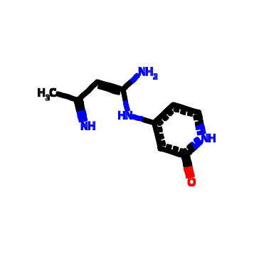 CC(=N)/C=C(/N)Nc1cc[nH]c(=O)c1